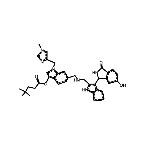 Cn1cnc(Cn2cc(OC(=O)CCC(C)(C)C)c3ccc(CNCc4[nH]c5ccccc5c4C4NC(=O)c5ccc(O)cc54)cc32)c1